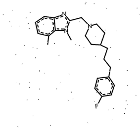 Cc1cccc2nc(CN3CCC(CCCc4ccc(F)cc4)CC3)n(C)c12